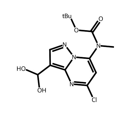 CN(C(=O)OC(C)(C)C)c1cc(Cl)nc2c(C(O)O)cnn12